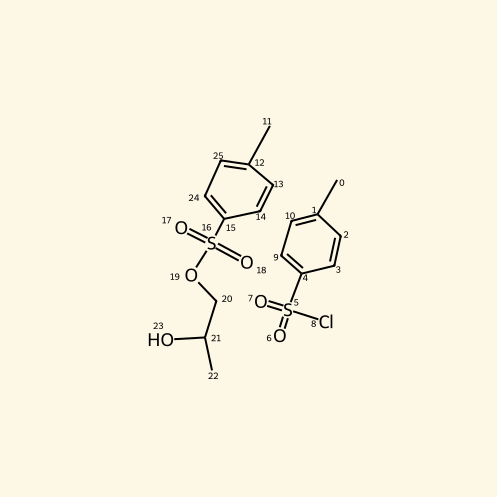 Cc1ccc(S(=O)(=O)Cl)cc1.Cc1ccc(S(=O)(=O)OCC(C)O)cc1